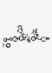 CC(C)c1ccccc1[C@@H]1CCCN1C1CC2(CCN(c3ccc(C(=O)NS(=O)(=O)c4ccc(NCC5CCNCC5)c(S(=O)(=O)C(F)(F)F)c4)c(Oc4cnc5[nH]ccc5c4)c3)CC2)C1